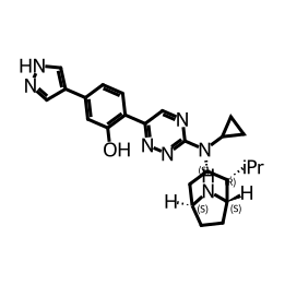 CC(C)[C@@H]1[C@@H]2CC[C@@H](C[C@@H]1N(c1ncc(-c3ccc(-c4cn[nH]c4)cc3O)nn1)C1CC1)N2